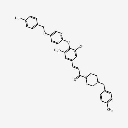 Cc1ccc(COc2ccc(Oc3c(C)cc(/C=C/C(=O)N4CCN(Cc5ccc(C)cc5)CC4)cc3Cl)nc2)cc1